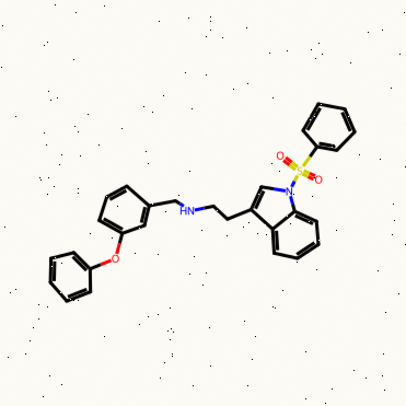 O=S(=O)(c1ccccc1)n1cc(CCNCc2cccc(Oc3ccccc3)c2)c2ccccc21